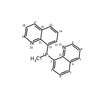 CP(c1cccc2cccnc12)c1cccc2cccnc12